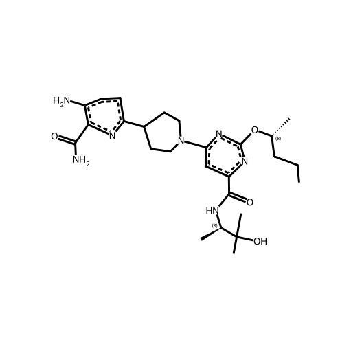 CCC[C@@H](C)Oc1nc(C(=O)N[C@H](C)C(C)(C)O)cc(N2CCC(c3ccc(N)c(C(N)=O)n3)CC2)n1